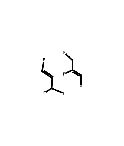 FC=C(F)CF.FC=CC(F)F